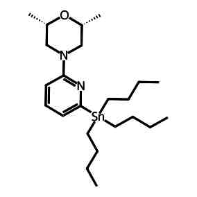 CCC[CH2][Sn]([CH2]CCC)([CH2]CCC)[c]1cccc(N2C[C@@H](C)O[C@@H](C)C2)n1